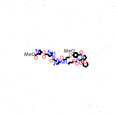 C=CCOC(=O)N1c2cc(OCCCC(=O)Nc3cn(C)c(C(=O)NC4C=C(C(=O)Oc5cc(C(=O)OC)n(C)c5)N(C)C4)n3)c(OC)cc2C(=O)N2CCC[C@H]2C1OC1CCCCO1